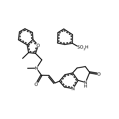 Cc1c(CN(C)C(=O)C=Cc2cnc3c(c2)CCC(=O)N3)oc2ccccc12.O=S(=O)(O)c1ccccc1